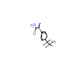 C=C(C(N)=O)c1ccc(C(C)(C)C(C)(C)CC)cc1